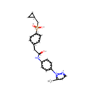 Cc1ccnn1-c1ccc(NC(=O)Cc2ccc(S(=O)(=O)CC3CC3)cc2)cc1